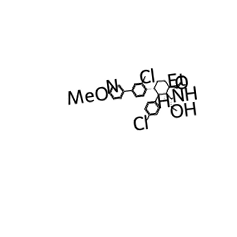 CC[C@@]12CC[C@@H](c3ccc(-c4ccc(OC)nc4)cc3Cl)[C@H](c3ccc(Cl)cc3)[C@@H]1[C@@H](CO)NC2=O